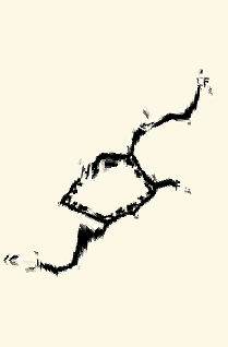 NCc1cnc(OCC(F)(F)F)c(F)c1